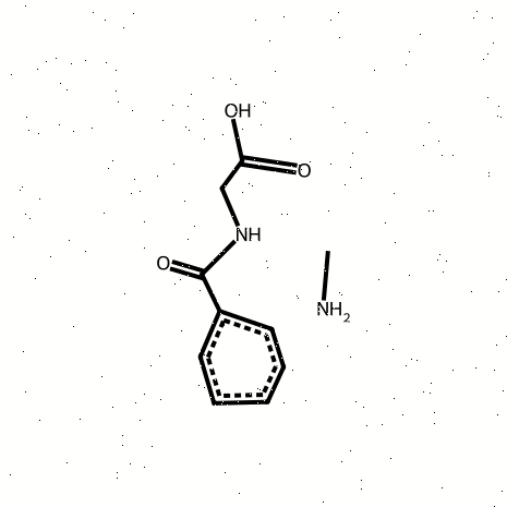 CN.O=C(O)CNC(=O)c1ccccc1